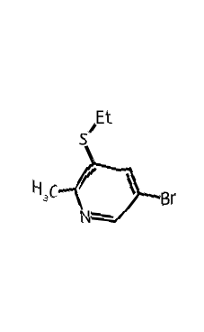 CCSc1cc(Br)cnc1C